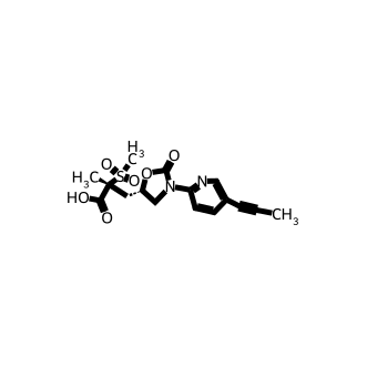 CC#Cc1ccc(N2C[C@H](C[C@](C)(C(=O)O)S(C)(=O)=O)OC2=O)nc1